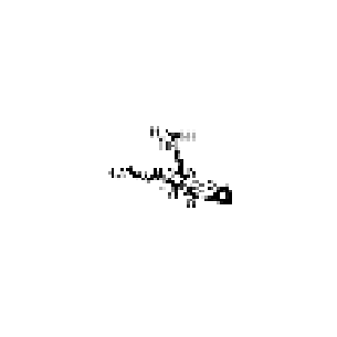 C[C@@]([C]=O)(C(=O)OCc1ccccc1)N(C(=O)COCCOCCN)C(=O)[C@@H](N)CCCNC(=N)N